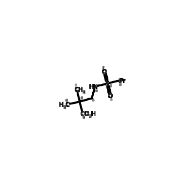 CC(C)S(=O)(=O)NCC(C)(C)C(=O)O